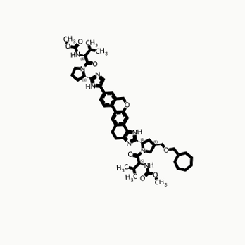 COC(=O)N[C@H](C(=O)N1CCC[C@H]1c1ncc(-c2ccc3c(c2)COc2cc4c(cc2-3)CCc2nc([C@@H]3C[C@@H](COCC5CCCCCC5)CN3C(=O)[C@@H](NC(=O)OC)C(C)C)[nH]c2-4)[nH]1)C(C)C